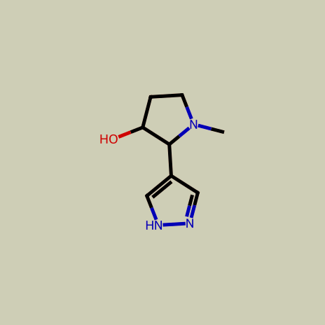 CN1CCC(O)C1c1cn[nH]c1